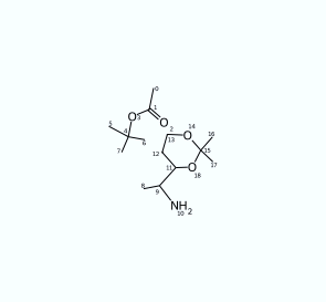 CC(=O)OC(C)(C)C.CC(N)C1CCOC(C)(C)O1